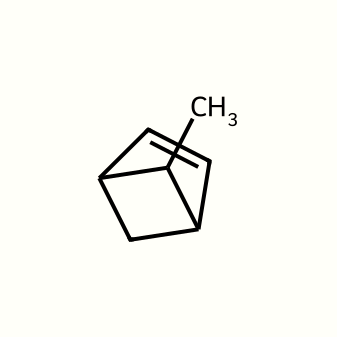 CC1C2C=CC1C2